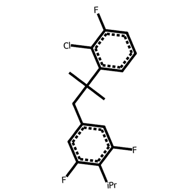 CC(C)c1c(F)cc(CC(C)(C)c2cccc(F)c2Cl)cc1F